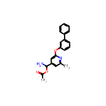 NC(OC(=O)C(F)(F)F)c1cc(Oc2cccc(-c3ccccc3)c2)nc(C(F)(F)F)c1